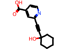 O=C(O)c1ccnc(C#CC2(O)CCCCC2)c1